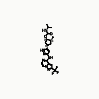 CC(C)NC(=O)O[C@H]1C[C@@H](c2cc(Nc3nccn4nc(C(F)(F)F)cc34)n[nH]2)C[C@H]1F